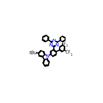 CC(C)(C)c1ccc2c(c1)c1ccccc1n2-c1ccc(-c2cc(C(F)(F)F)cc(C(F)(F)F)c2)c(-c2nc(-c3ccccc3)nc(-c3ccccc3)n2)c1